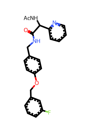 CC(=O)NC(C(=O)NCc1ccc(OCc2cccc(F)c2)cc1)c1ccccn1